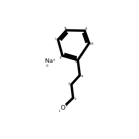 [Na+].[O-]CCCc1ccccc1